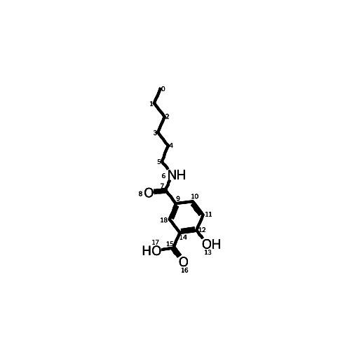 CCCCCCNC(=O)c1ccc(O)c(C(=O)O)c1